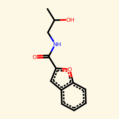 CC(O)CNC(=O)c1cc2ccccc2o1